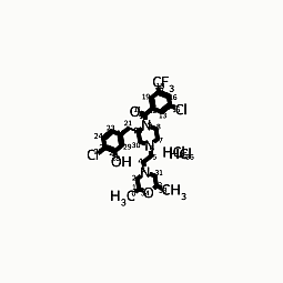 CC1CN(CCN2CCN(C(=O)c3cc(Cl)cc(C(F)(F)F)c3)[C@H](Cc3ccc(Cl)c(O)c3)C2)CC(C)O1.Cl.Cl